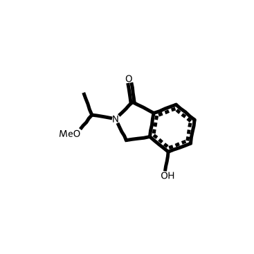 COC(C)N1Cc2c(O)cccc2C1=O